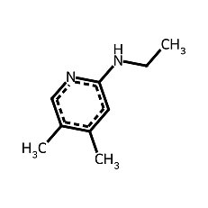 CCNc1cc(C)c(C)cn1